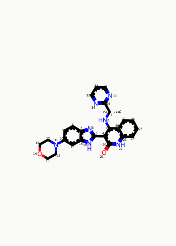 C[C@H](Nc1c(-c2nc3ccc(N4CCOCC4)cc3[nH]2)c(=O)[nH]c2ccccc12)c1ncccn1